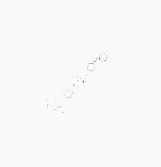 CO[C@@H](Cc1ccc(OCC(=O)NCCc2ccc(Oc3ccccc3)cc2)cc1)C(=O)O